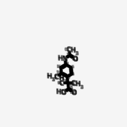 CC(=O)Nc1ccc(C(C)(C)C(=O)O)c(C)c1